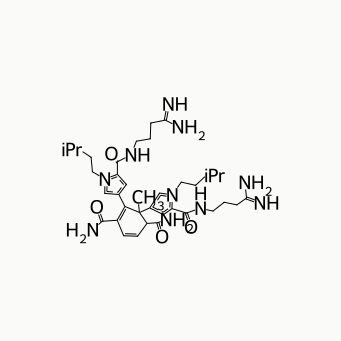 CC(C)CCn1cc(C2=C(C(N)=O)C=CC(C(N)=O)C2(C)c2cc(C(=O)NCCCC(=N)N)n(CCC(C)C)c2)cc1C(=O)NCCCC(=N)N